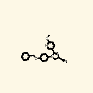 COc1ccc(C2=NC(C#N)CN2c2ccc(OCc3ccccc3)cc2)cn1